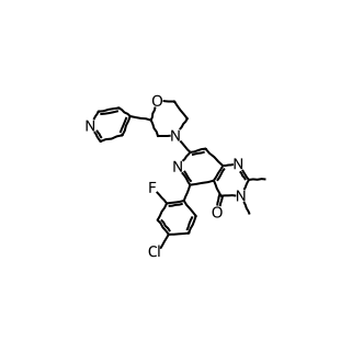 Cc1nc2cc(N3CCOC(c4ccncc4)C3)nc(-c3ccc(Cl)cc3F)c2c(=O)n1C